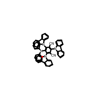 N#Cc1c(-n2c3ccccc3c3ccccc32)c(C#N)c(-n2c3ccccc3c3ccccc32)c(N(c2ccccc2)c2ccccc2)c1-n1c2ccccc2c2ccccc21